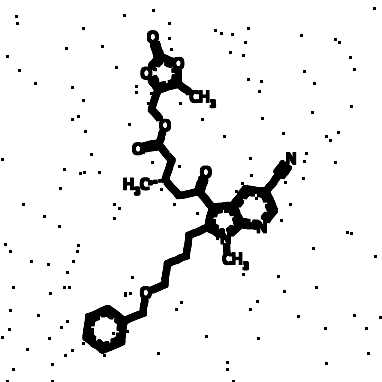 Cc1oc(=O)oc1COC(=O)C[C@@H](C)CC(=O)c1c(CCCCOCc2ccccc2)n(C)c2ncc(C#N)cc12